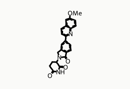 COc1ccc2nc(-c3ccc4c(c3)CN(C3CCC(=O)NC3=O)C4=O)ccc2c1